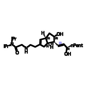 CCCCC[C@H](O)/C=C/[C@@H]1[C@H]2CC(CCNCC(=O)N(C(C)C)C(C)C)=C[C@H]2C[C@H]1O